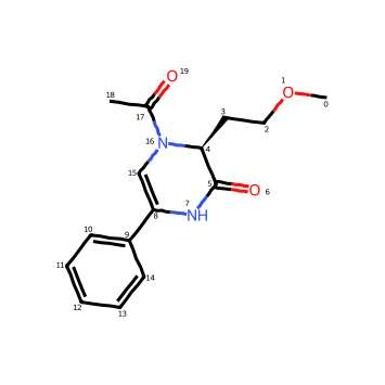 COCC[C@H]1C(=O)NC(c2ccccc2)=CN1C(C)=O